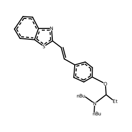 CCCCN(CCCC)C(CC)Oc1ccc(/C=C/c2nc3ccccc3s2)cc1